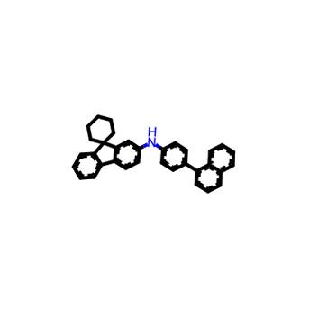 c1ccc2c(c1)-c1ccc(Nc3ccc(-c4cccc5ccccc45)cc3)cc1C21CCCCC1